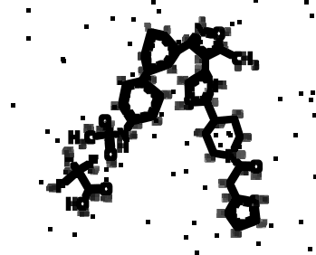 Cc1onc(-c2cccc(-c3ccc(NS(C)(=O)=O)cc3)c2)c1-c1csc(C2CCN(C(=O)Cc3cccs3)CC2)n1.O=C(O)C(F)(F)F